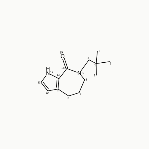 CC(C)(C)CN1CCCc2cc[nH]c2C1=O